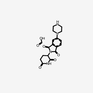 O=C1CCC(N2C(=O)c3ccc(N4CCNCC4)cc3C2=O)C(=O)N1.O=CO